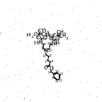 CC(C)(C)OC(=O)NCCN(CCCCC(=O)OCc1ccccc1)CCNC(=O)OC(C)(C)C